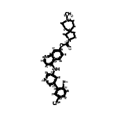 CN1CCC2(CC1)CCN(C(=O)Oc1ccc3c(Nc4cnnc(-c5cc(Cl)ccc5F)c4)ccnc3c1)C2